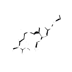 C/C=N/O/C(C)=C/C(=N/C=N)C(/C)=C/N[C@@H](C)[C@H](F)CN(C)C(O)OC